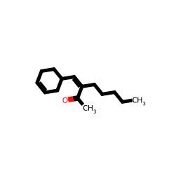 CCCCCC(=CC1CC=CCC1)C(C)=O